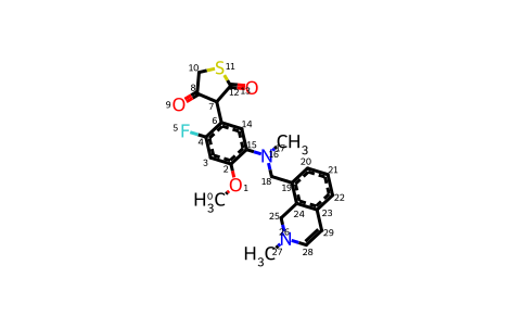 COc1cc(F)c(C2C(=O)CSC2=O)cc1N(C)Cc1cccc2c1CN(C)C=C2